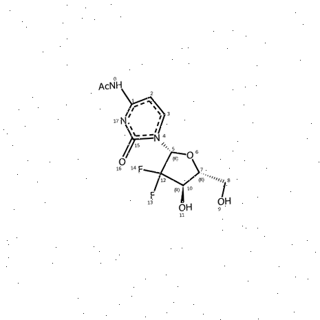 CC(=O)Nc1ccn([C@@H]2O[C@H](CO)[C@@H](O)C2(F)F)c(=O)n1